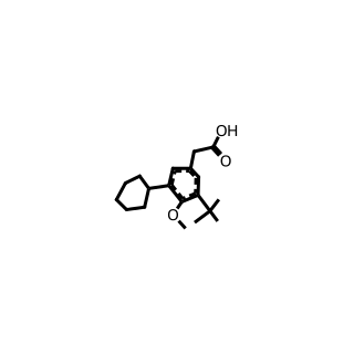 COc1c(C2CCCCC2)cc(CC(=O)O)cc1C(C)(C)C